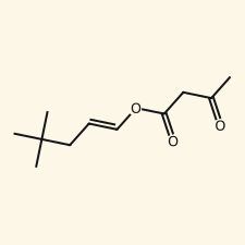 CC(=O)CC(=O)OC=CCC(C)(C)C